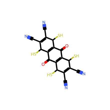 N#CC1=C(C#N)C(S)C2=C(C(=O)C3=C(C2=O)C(S)C(C#N)=C(C#N)C3S)C1S